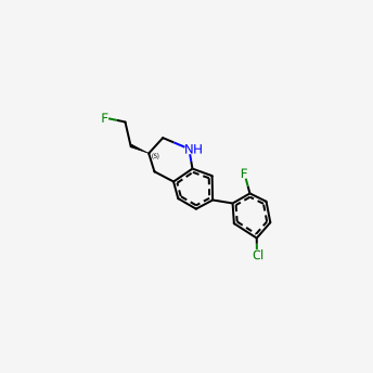 FCC[C@H]1CNc2cc(-c3cc(Cl)ccc3F)ccc2C1